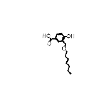 CCCCCCCOCc1cc(C(=O)O)ccc1O